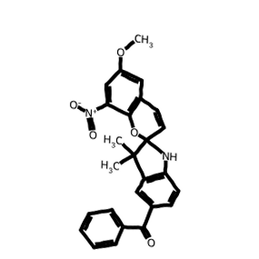 COc1cc2c(c([N+](=O)[O-])c1)OC1(C=C2)Nc2ccc(C(=O)c3ccccc3)cc2C1(C)C